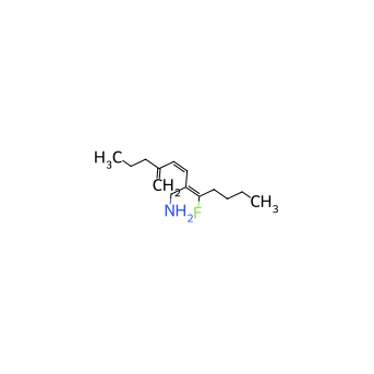 C=C(/C=C\C(CN)=C(\F)CCCC)CCC